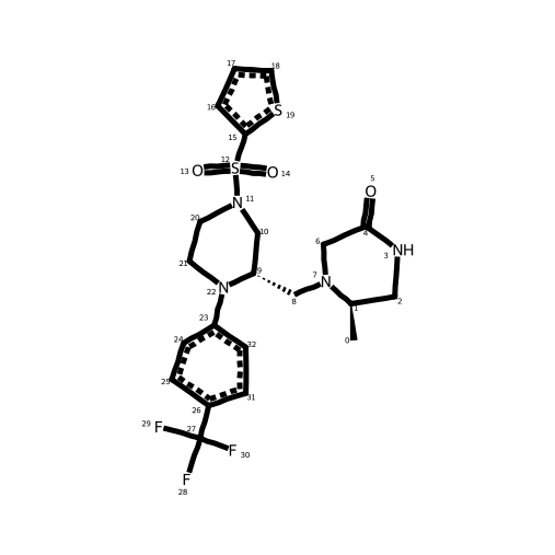 C[C@@H]1CNC(=O)CN1C[C@H]1CN(S(=O)(=O)c2cccs2)CCN1c1ccc(C(F)(F)F)cc1